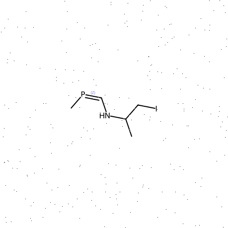 C/P=C\NC(C)CI